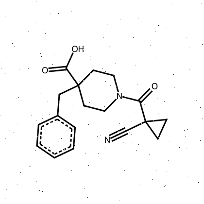 N#CC1(C(=O)N2CCC(Cc3ccccc3)(C(=O)O)CC2)CC1